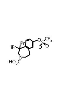 CC(C)C1(C(C)C)CN(C(=O)O)CCc2cc(OS(=O)(=O)C(F)(F)F)ccc21